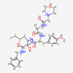 CCCCC(NC(=O)C(Cc1ccc(OC)cc1)NC(=O)C(C)NC(=O)CN1CCOCC1)C(=O)C(=O)NCc1ccccc1